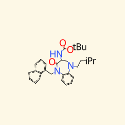 CC(C)CCN1CC(NC(=O)OC(C)(C)C)C(=O)N(Cc2cccc3ccccc23)c2ccccc21